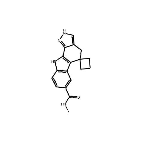 CNC(=O)c1ccc2[nH]c3c(c2c1)C1(CCC1)Cc1c[nH]nc1-3